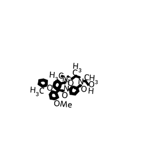 COc1cccc(CC(=O)Nc2cccc3c2O[C@H](CN(C)Cc2ccc(Oc4ccccc4C)cc2)[C@H](C)CN([C@@H](C)CO)C3=O)c1